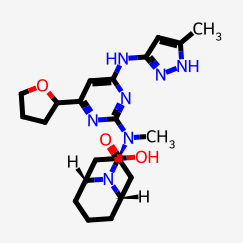 Cc1cc(Nc2cc(C3CCCO3)nc(N(C)[C@@H]3C[C@H]4CCC[C@@H](C3)N4C(=O)O)n2)n[nH]1